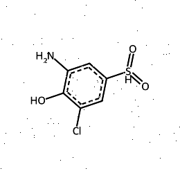 Nc1cc([SH](=O)=O)cc(Cl)c1O